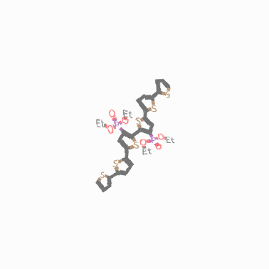 CCOP(=O)(OCC)c1cc(-c2ccc(-c3cccs3)s2)sc1-c1sc(-c2ccc(-c3cccs3)s2)cc1P(=O)(OCC)OCC